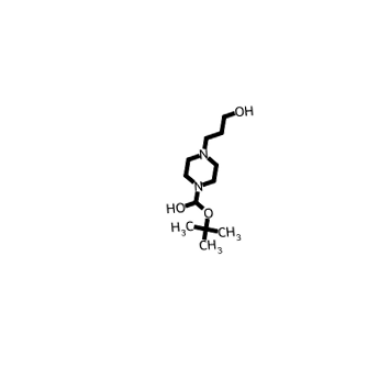 CC(C)(C)OC(O)N1CCN(CCCO)CC1